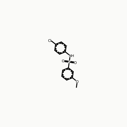 COc1cccc(S(=O)(=O)Nc2[c]cc(Cl)cc2)c1